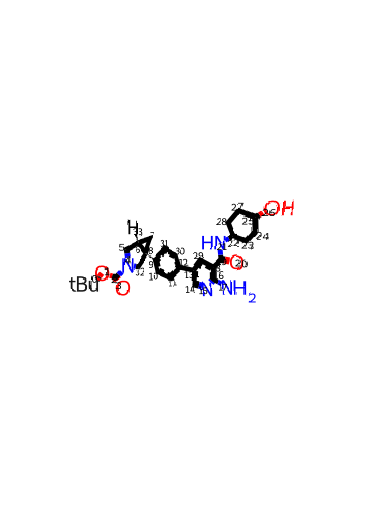 CC(C)(C)OC(=O)N1C[C@H]2C[C@@]2(c2ccc(-c3cnc(N)c(C(=O)NC4CCC(O)CC4)c3)cc2)C1